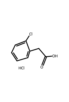 Cl.O=C(O)Cc1ccccc1Cl